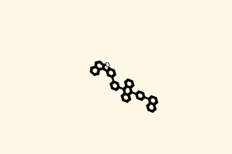 c1cc(-c2ccc3oc4ccc5ccccc5c4c3c2)cc(-c2c3ccccc3c(-c3ccc(-c4cccc5ccccc45)cc3)c3ccccc23)c1